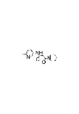 Cc1ccc(NC(=O)CC(=O)N2CCCCC2)cn1